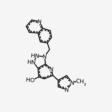 Cn1cc(-c2cc(O)c3c(n2)N(Cc2ccc4ncccc4c2)NN3)cn1